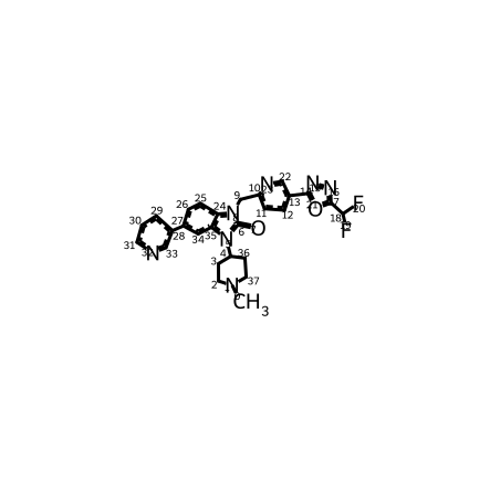 CN1CCC(n2c(=O)n(Cc3ccc(-c4nnc(C(F)F)o4)cn3)c3ccc(-c4cccnc4)cc32)CC1